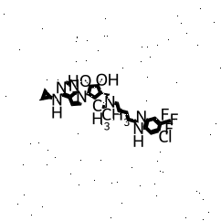 CC(C)N(CCCCc1nc2cc(C(F)(F)F)c(Cl)cc2[nH]1)C[C@H]1C[C@@H](n2ccc3c(NC4CC4)ncnc32)[C@H](O)[C@@H]1O